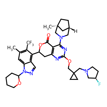 Cc1cc2c(cnn2C2CCCCO2)c(C2Cc3nc(OCC4(CN5CC[C@@H](F)C5)CC4)nc(N4C[C@H]5CC[C@@](C)(C5)C4)c3C(=O)O2)c1C(F)(F)F